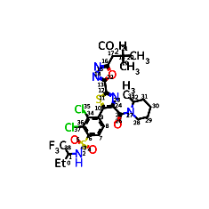 CCC(NS(=O)(=O)c1ccc(-c2sc(-c3nnc(CC(C)(C)C(=O)O)o3)nc2C(=O)N2CCCCC2C)c(Cl)c1Cl)C(F)(F)F